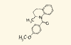 COc1ccc(C(=O)N2c3ccccc3CC[C@@H]2C)cc1